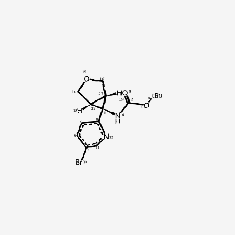 CC(C)(C)OC(=O)N[C@@]1(c2ccc(Br)cn2)[C@@H]2COC[C@@H]21